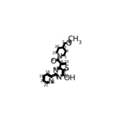 COCC1CCN(C(=O)c2csc3c(O)nc(-c4ccccn4)nc23)CC1